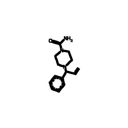 C=CC(c1ccccc1)N1CCN(C(N)=O)CC1